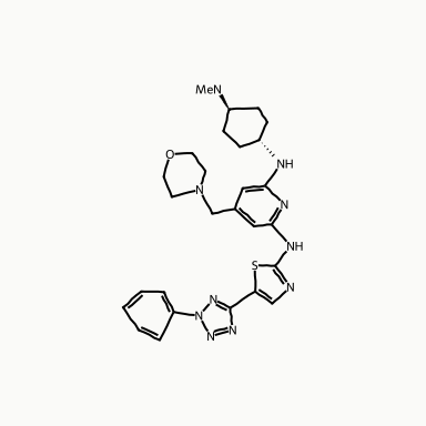 CN[C@H]1CC[C@H](Nc2cc(CN3CCOCC3)cc(Nc3ncc(-c4nnn(-c5ccccc5)n4)s3)n2)CC1